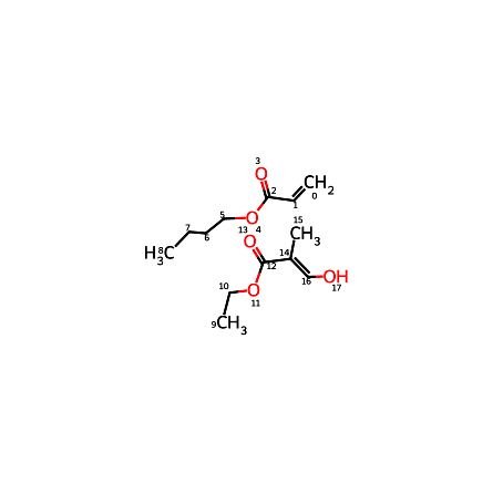 C=CC(=O)OCCCC.CCOC(=O)C(C)=CO